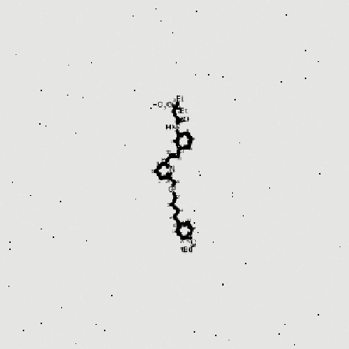 CCC(CC)(CC(=O)Nc1cccc(/C=C/c2cccc(COCCCCc3ccc(OC(C)(C)C)cc3)n2)c1)C(=O)O